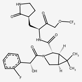 CC1(C)[C@@H]2[C@@H](C(=O)N[C@@H](C[C@@H]3CCNC3=O)C(=O)COC(F)(F)F)N(C(=O)[C@H](O)c3ccccc3F)C[C@@H]21